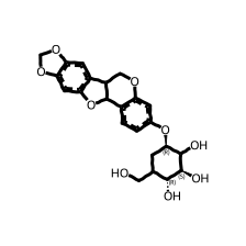 OCC1C[C@@H](Oc2ccc3c(c2)OCC2c4cc5c(cc4OC32)OCO5)C(O)[C@@H](O)[C@@H]1O